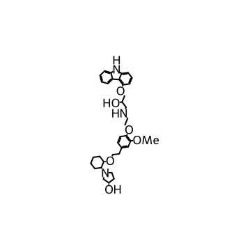 COc1cc(CCO[C@@H]2CCCC[C@@H]2N2CC[C@@H](O)C2)ccc1OCCNCC(O)COc1cccc2[nH]c3ccccc3c12